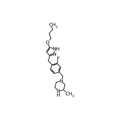 CCCCOc1cc(Cc2ccc(CN3CCNC(C)C3)cc2F)n[nH]1